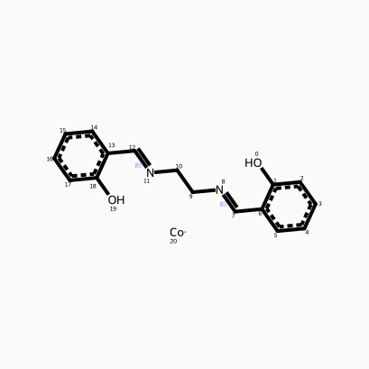 Oc1ccccc1/C=N/CC/N=C/c1ccccc1O.[Co]